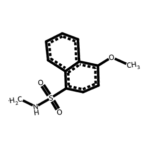 [CH2]NS(=O)(=O)c1ccc(OC)c2ccccc12